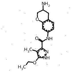 CCOc1[nH]nc(C(=O)Nc2ccc3c(c2)OCC(N)C3)c1C